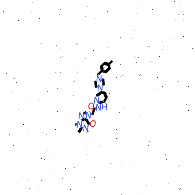 C=C1N(C)C(=O)c2c(ncn2CC(=O)NC2=NC=C(N3CCN(Cc4ccc(C)cc4)CC3)C=C[C@@H]2C)N1C